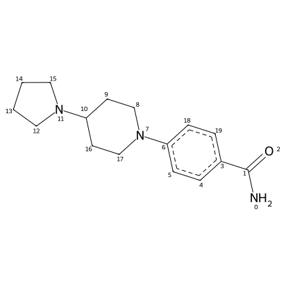 NC(=O)c1ccc(N2CCC(N3CCCC3)CC2)cc1